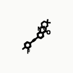 Cc1ccc(C#Cc2ccc3c(=O)n4c(nc3c2)CCC(C)(C)C4)cc1F